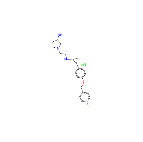 Cl.NC1CCN(CCNC2CC2c2ccc(OCc3ccc(Cl)cc3)cc2)C1